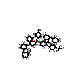 CC(C)(C)c1ccc2c(c1)C1(c3ccccc3-c3ccccc31)c1cc(N(c3ccc(-c4cccc5c4oc4ccccc45)cc3)c3ccccc3-c3ccccc3)ccc1-2